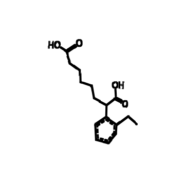 CCc1ccccc1C(CCCCCC(=O)O)C(=O)O